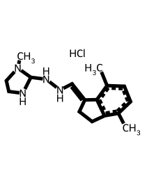 Cc1ccc(C)c2c1CCC2=CNNC1NCCN1C.Cl